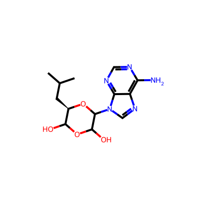 CC(C)C[C@H]1OC(n2cnc3c(N)ncnc32)C(O)OC1O